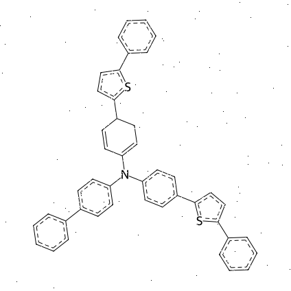 C1=CC(c2ccc(-c3ccccc3)s2)CC=C1N(c1ccc(-c2ccccc2)cc1)c1ccc(-c2ccc(-c3ccccc3)s2)cc1